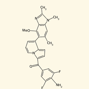 COc1c(-c2cccn3c(C(=O)c4cc(F)c(N)c(F)c4)ccc23)c(C)cc2c1nc(C)n2C